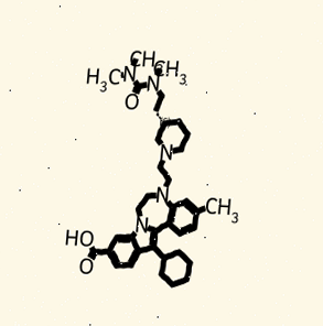 Cc1ccc2c(c1)N(CCN1CCC[C@@H](CCN(C)C(=O)N(C)C)C1)CCn1c-2c(C2CCCCC2)c2ccc(C(=O)O)cc21